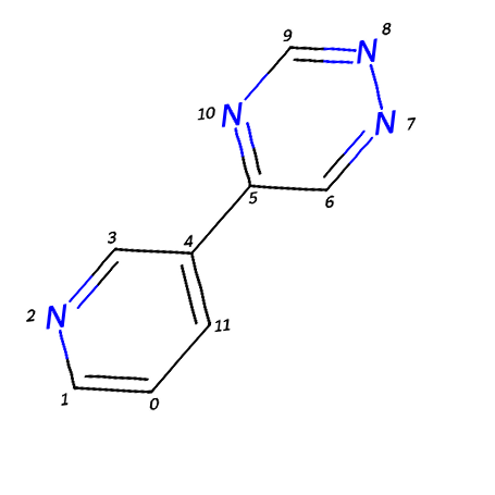 c1cncc(-c2cnncn2)c1